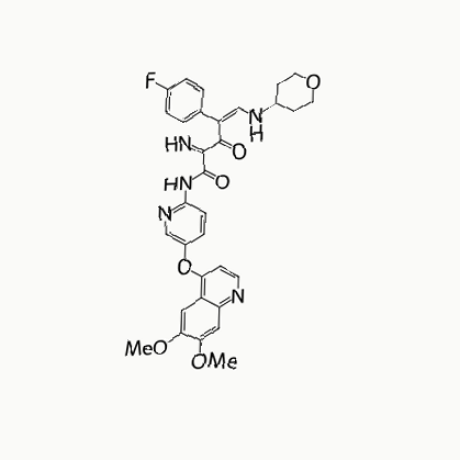 COc1cc2nccc(Oc3ccc(NC(=O)C(=N)C(=O)/C(=C\NC4CCOCC4)c4ccc(F)cc4)nc3)c2cc1OC